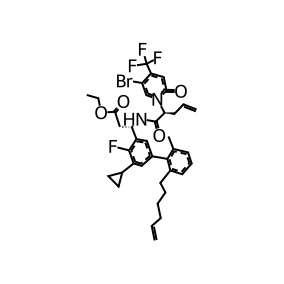 C=CCCCCc1cccc(C)c1-c1cc(C2CC2)c(F)c([C@H](CC(=O)OCC)NC(=O)[C@H](CC=C)n2cc(Br)c(C(F)(F)F)cc2=O)c1